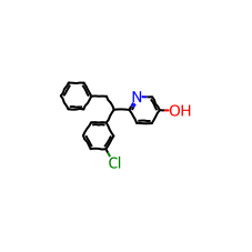 Oc1ccc(C(Cc2ccccc2)c2cccc(Cl)c2)nc1